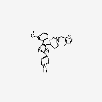 COc1cccc(-c2cnc(C3=CCNC=C3)nc2C2CCN(Cc3sccc3C)CC2)c1